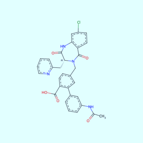 CC(=O)Nc1cccc(-c2cc(CN3C(=O)c4ccc(Cl)cc4NC(=O)[C@H]3Cc3ccccn3)ccc2C(=O)O)c1